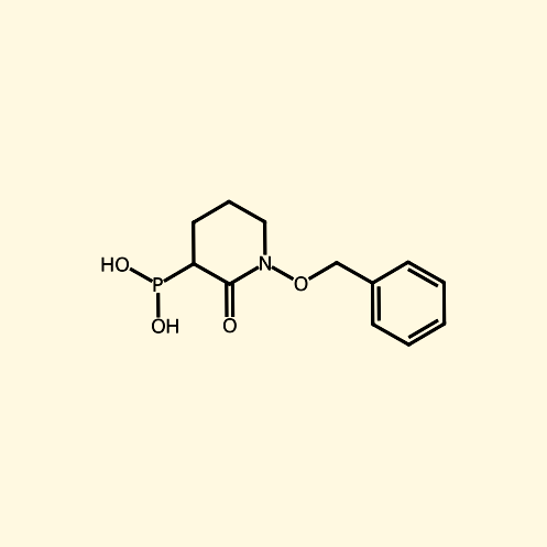 O=C1C(P(O)O)CCCN1OCc1ccccc1